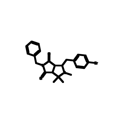 CN1C(Cc2ccc(Br)cc2)C2C(=O)N(Cc3ccccc3)C(=O)C2C1(C)C